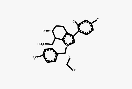 CC[C@H]1CCc2c(-c3ccc(Cl)cc3Cl)cn([C@H](CCC(C)C)c3ccc(C(F)(F)F)cc3)c2C1CC(=O)O